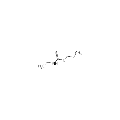 CC[CH]OC(=S)NCC